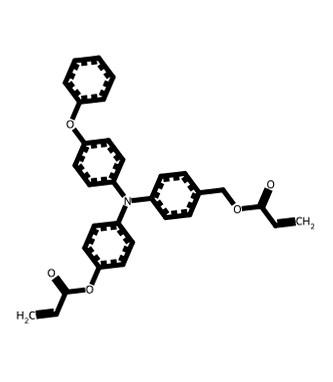 C=CC(=O)OCc1ccc(N(c2ccc(OC(=O)C=C)cc2)c2ccc(Oc3ccccc3)cc2)cc1